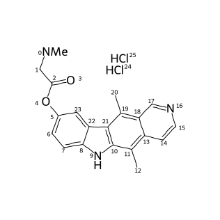 CNCC(=O)Oc1ccc2[nH]c3c(C)c4ccncc4c(C)c3c2c1.Cl.Cl